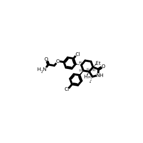 CC[C@@]12CC[C@@H](c3ccc(OCC(N)=O)cc3Cl)[C@H](c3ccc(Cl)cc3)[C@@H]1[C@@H](C)NC2=O